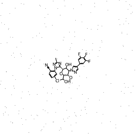 CO[C@H]1C(C(C)O)O[C@@H](c2nc(C)nn2-c2cc(Cl)ccc2C#N)C(O)C1n1cc(-c2cc(F)c(F)c(F)c2)cn1